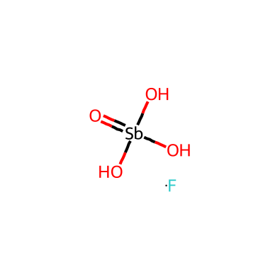 [F].[O]=[Sb]([OH])([OH])[OH]